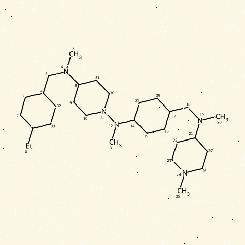 CCC1CCC(CN(C)C2CCN(N(C)C3CCC(CN(C)C4CCN(C)CC4)CC3)CC2)CC1